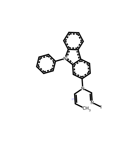 C/C=C\N(C=NI)c1ccc2c3ccccc3n(-c3ccccc3)c2c1